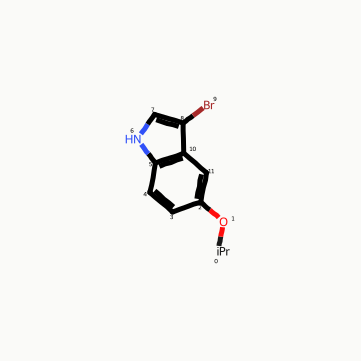 CC(C)Oc1ccc2[nH]cc(Br)c2c1